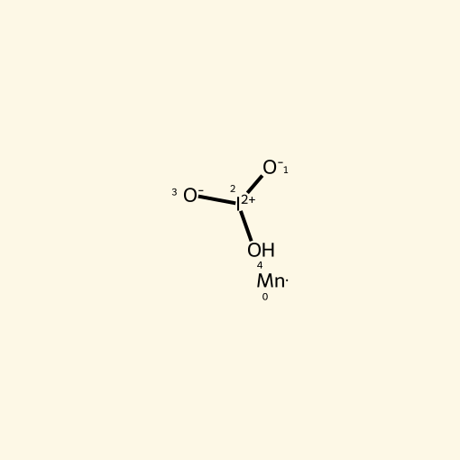 [Mn].[O-][I+2]([O-])O